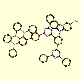 CC(C)(C)c1ccc2c(c1)c1ccccc1n2-c1ccc(-c2cc(-c3ccccc3)nc(-c3ccccc3)n2)cc1-c1nc(-c2ccccc2)nc(-c2ccc(-c3ccc4c5c3N(c3ccccc3)c3ccccc3B5c3ccccc3N4c3ccccc3)cc2)n1